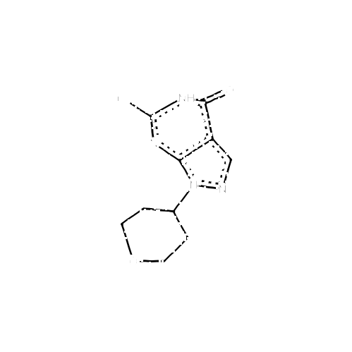 CCc1nc2c(cnn2C2CCOCC2)c(=O)[nH]1